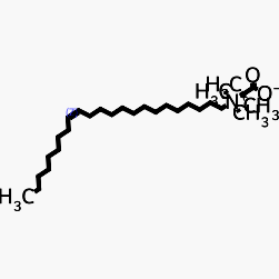 CCCCCCCC/C=C\CCCCCCCCCCCCC[N+](C)(C)C(C)(C)C(=O)[O-]